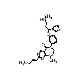 CC/C=C/c1ncc2c(n1)N(C)CCN(c1cccc(OC(CCNC)c3ccsc3)c1)C2=O